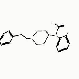 CC(C)C(=O)N(c1ccccc1F)C1CCN(CCc2ccccc2)CC1